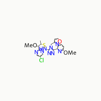 COc1cccc(-c2nnc(NSC(C)C(OC)c3ncc(Cl)cn3)n2Cc2ccon2)n1